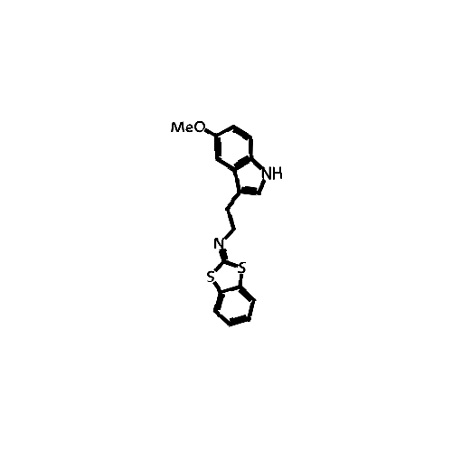 COc1ccc2[nH]cc(CCN=c3sc4ccccc4s3)c2c1